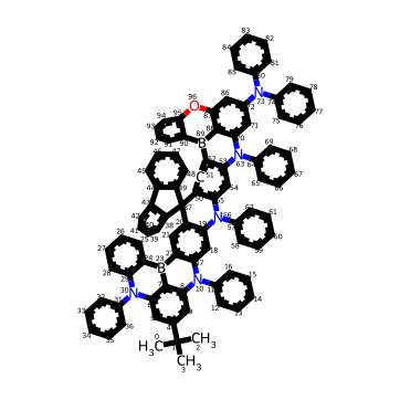 CC(C)(C)c1cc2c3c(c1)N(c1ccccc1)c1cc4c(cc1B3c1ccccc1N2c1ccccc1)C1(c2ccccc2-c2ccccc21)c1cc2c(cc1N4c1ccccc1)N(c1ccccc1)c1cc(N(c3ccccc3)c3ccccc3)cc3c1B2c1ccccc1O3